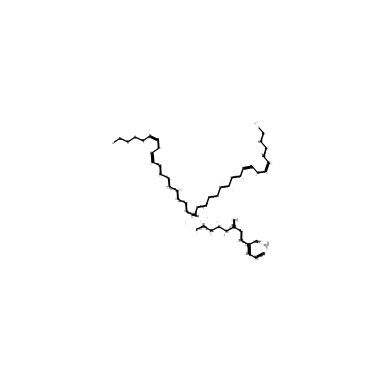 CCCCC/C=C\C/C=C\CCCCCCCCC1(CCCCCCCC/C=C\C/C=C\CCCCC)OCC(CCCC(C)CCc2cccnc2)O1